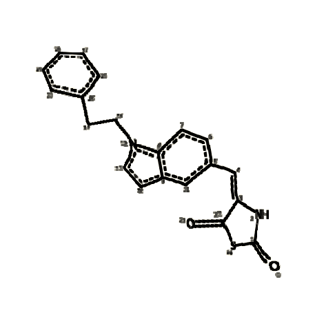 O=C1NC(=Cc2ccc3c(ccn3CCc3ccccc3)c2)C(=O)S1